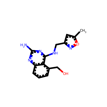 Cc1cc(CNc2nc(N)nc3cccc(CO)c23)no1